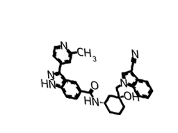 Cc1cc(-c2n[nH]c3ccc(C(=O)N[C@H]4CCC[C@@](O)(Cn5cc(C#N)c6ccccc65)C4)cc23)ccn1